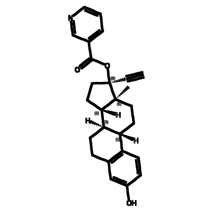 C#C[C@@]1(OC(=O)c2cccnc2)CC[C@H]2[C@@H]3CCc4cc(O)ccc4[C@H]3CC[C@@]21C